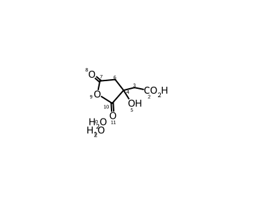 O.O.O=C(O)CC1(O)CC(=O)OC1=O